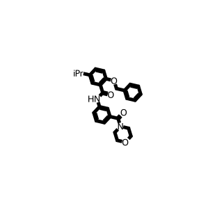 CC(C)c1ccc(OCc2ccccc2)c(C(=O)Nc2cccc(C(=O)N3CCOCC3)c2)c1